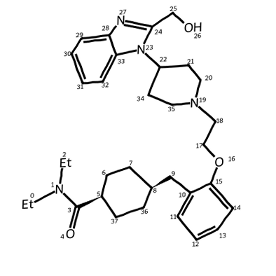 CCN(CC)C(=O)[C@H]1CC[C@@H](Cc2ccccc2OCCN2CCC(n3c(CO)nc4ccccc43)CC2)CC1